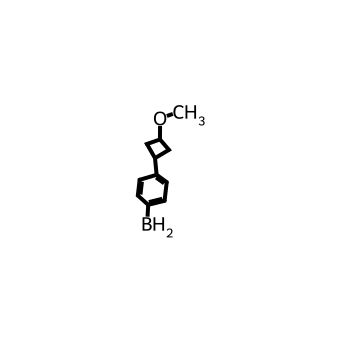 Bc1ccc(C2CC(OC)C2)cc1